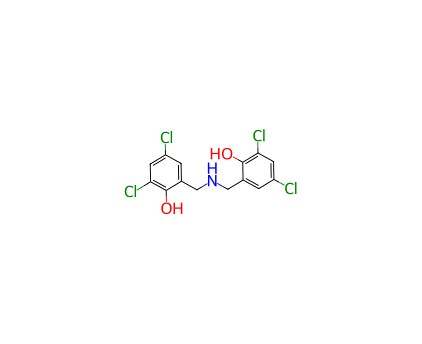 Oc1c(Cl)cc(Cl)cc1CNCc1cc(Cl)cc(Cl)c1O